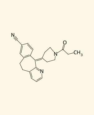 CCC(=O)N1CCC(=C2c3ccc(C#N)cc3CCc3cccnc32)CC1